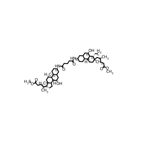 CC[C@H]1C2[C@H](CC[C@]1(C)C[C@H](C)CCC(=O)OC)C1CC[C@@H](NC(=O)CCCC(=O)N[C@H]3CC[C@@]4(C)C(C3)C[C@H](O)[C@@H]3C4CC[C@@]4(C)C3CC[C@@H]4[C@H](C)CCC(=O)OC)CC1C[C@H]2O